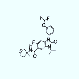 CC(C)n1c(=O)n(-c2cccc(OC(F)F)c2)c2cc(F)c(C(=O)NC3(C)CCSC3)cc21